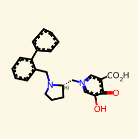 O=C(O)c1cn(C[C@@H]2CCCN2Cc2ccccc2-c2ccccc2)cc(O)c1=O